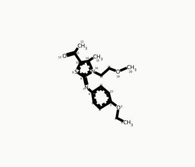 CCOc1ccc(N=c2sc(C(C)=O)c(C)n2CCOC)cc1